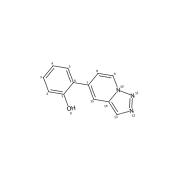 Oc1ccccc1-c1ccn2nncc2c1